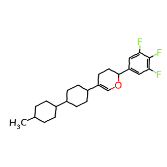 CC1CCC(C2CCC(C3=COC(c4cc(F)c(F)c(F)c4)CC3)CC2)CC1